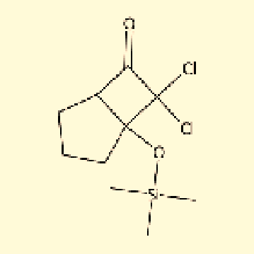 C[Si](C)(C)OC12CCCC1C(=O)C2(Cl)Cl